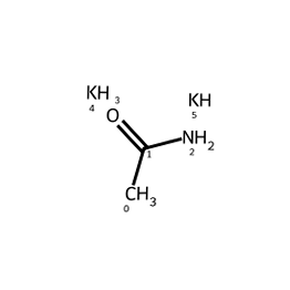 CC(N)=O.[KH].[KH]